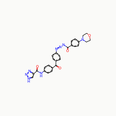 O=C(N=[N+]=Nc1ccc(C(=O)c2ccc(NC(=O)c3c[nH]nn3)cc2)cc1)c1ccc(N2CCOCC2)cc1